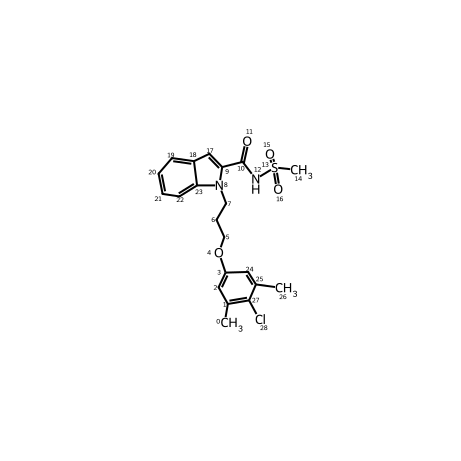 Cc1cc(OCCCn2c(C(=O)NS(C)(=O)=O)cc3ccccc32)cc(C)c1Cl